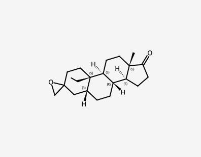 CC[C@]12CCC3(CO3)C[C@H]1CC[C@@H]1[C@@H]2CC[C@]2(C)C(=O)CC[C@@H]12